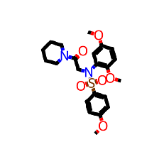 COc1ccc(S(=O)(=O)N(CC(=O)N2CCCCC2)c2cc(OC)ccc2OC)cc1